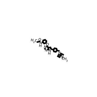 C=CC(=O)Nc1cccc(Oc2ncnc3[nH]c(-c4ccc(CN5C6CCC67C5CN7C)cc4)cc23)c1